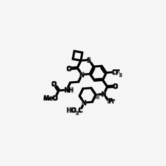 COC(=O)NCCN1C(=O)C2(CCC2)Sc2cc(C(F)(F)F)c(C(=O)N(C(C)C)[C@@H]3CCCN(C(=O)O)C3)cc21